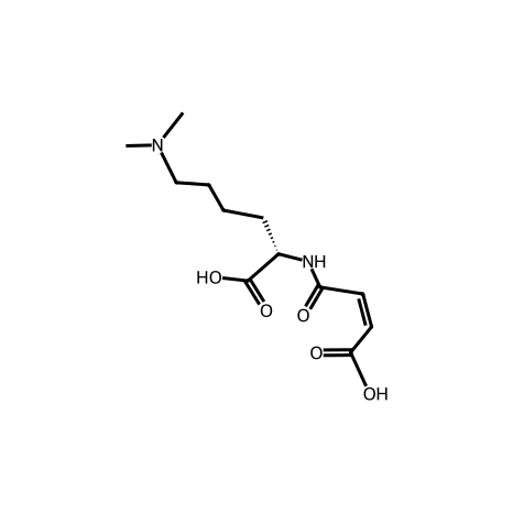 CN(C)CCCC[C@H](NC(=O)/C=C\C(=O)O)C(=O)O